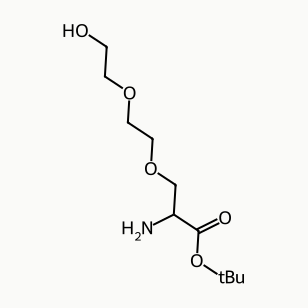 CC(C)(C)OC(=O)C(N)COCCOCCO